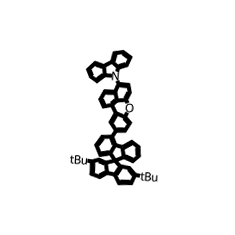 CC(C)(C)c1ccc2c(c1)C1(c3cc(C(C)(C)C)ccc3-2)c2ccccc2-c2c(-c3ccc4c(c3)-c3cccc5c(-n6c7ccccc7c7ccccc76)ccc(c35)O4)cccc21